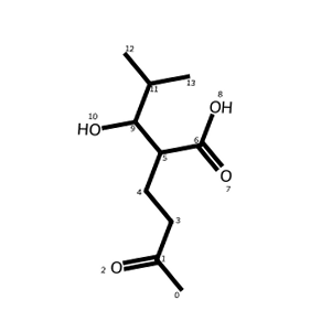 CC(=O)CCC(C(=O)O)C(O)C(C)C